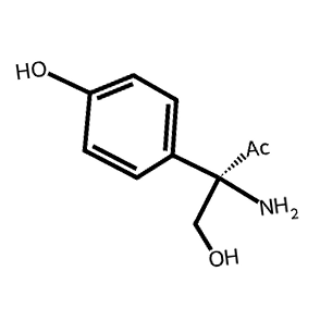 CC(=O)[C@](N)(CO)c1ccc(O)cc1